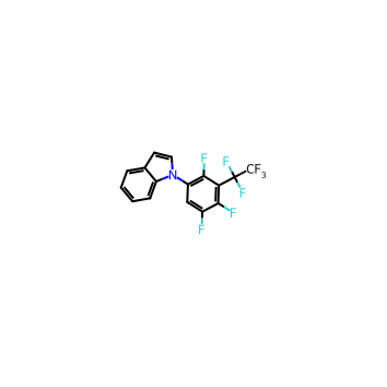 Fc1cc(-n2ccc3ccccc32)c(F)c(C(F)(F)C(F)(F)F)c1F